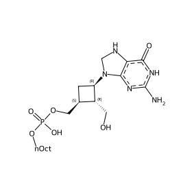 CCCCCCCCOP(=O)(O)OC[C@H]1C[C@@H](N2CNc3c2nc(N)[nH]c3=O)[C@@H]1CO